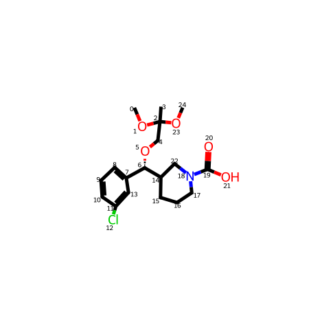 COC(C)(CO[C@@H](c1cccc(Cl)c1)C1CCCN(C(=O)O)C1)OC